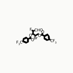 O=CC(F)C(OC(=O)c1ccc(C(F)(F)F)cc1)C(Br)COC(=O)c1ccc(C(F)(F)F)cc1